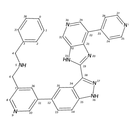 c1ccc(CNCc2cncc(-c3ccc4[nH]nc(-c5nc6c(-c7ccncc7)cncc6[nH]5)c4c3)c2)cc1